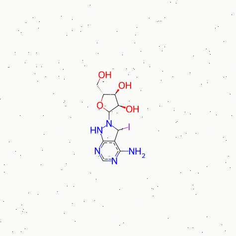 Nc1ncnc2c1C(I)N(C1O[C@H](CO)[C@@H](O)[C@H]1O)N2